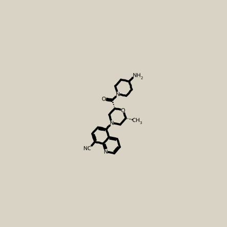 C[C@@H]1CN(c2ccc(C#N)c3ncccc23)C[C@H](C(=O)N2CCC(N)CC2)O1